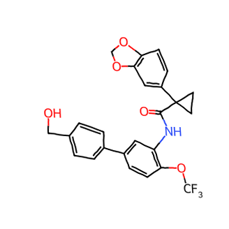 O=C(Nc1cc(-c2ccc(CO)cc2)ccc1OC(F)(F)F)C1(c2ccc3c(c2)OCO3)CC1